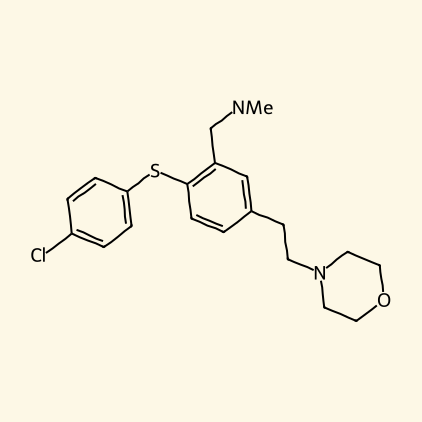 CNCc1cc(CCN2CCOCC2)ccc1Sc1ccc(Cl)cc1